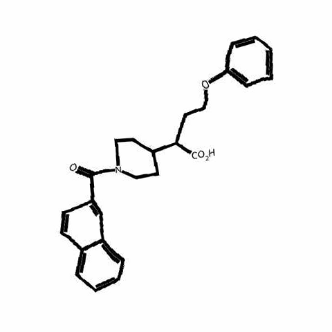 O=C(O)C(CCOc1ccccc1)C1CCN(C(=O)c2ccc3ccccc3c2)CC1